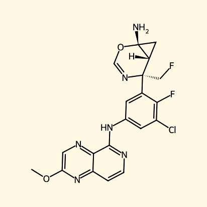 COc1cnc2c(Nc3cc(Cl)c(F)c([C@@]4(CF)N=CO[C@]5(N)C[C@@H]54)c3)nccc2n1